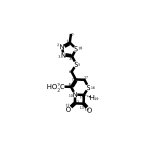 Cc1nnc(SCC2=C(C(=O)O)N3C(=O)C(=O)[C@@H]3SC2)s1